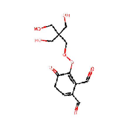 O=[C]C1=CCC(=O)C(OOCC(CO)(CO)CO)=C1[C]=O